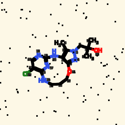 Cc1c2c(nn1CC(C)(C)O)OCCCNc1nc(ncc1Cl)N2